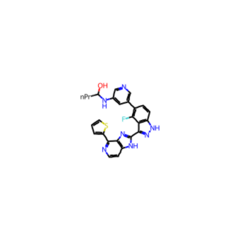 CCCC(O)Nc1cncc(-c2ccc3[nH]nc(-c4nc5c(-c6cccs6)nccc5[nH]4)c3c2F)c1